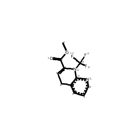 COC(=O)C1=CCc2cccnc2N1C(F)(F)F